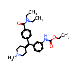 CCOC(=O)Nc1cccc(C(=C2CCN(C)CC2)c2ccc(C(=O)N(CC)CC)cc2)c1